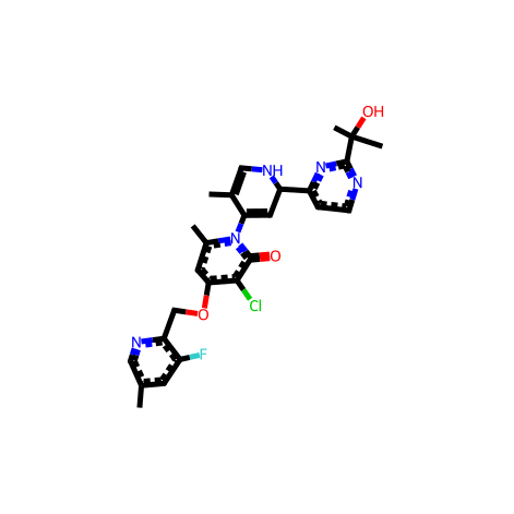 CC1=CNC(c2ccnc(C(C)(C)O)n2)C=C1n1c(C)cc(OCc2ncc(C)cc2F)c(Cl)c1=O